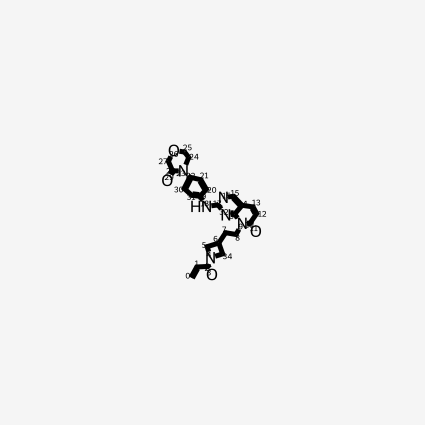 C=CC(=O)N1CC(CCn2c(=O)ccc3cnc(Nc4ccc(N5CCOCC5=O)cc4)nc32)C1